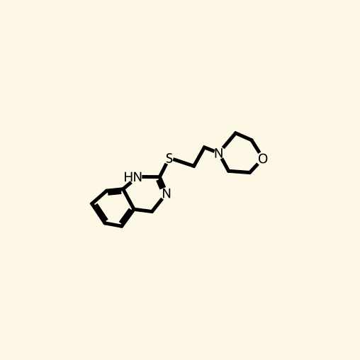 c1ccc2c(c1)CN=C(SCCN1CCOCC1)N2